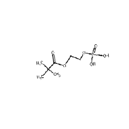 CC(C)(C)C(=O)OCCOP(=O)(O)O